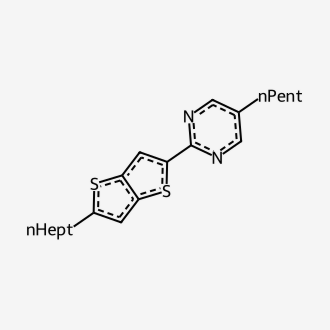 CCCCCCCc1cc2sc(-c3ncc(CCCCC)cn3)cc2s1